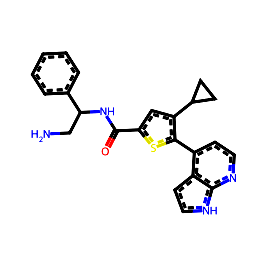 NCC(NC(=O)c1cc(C2CC2)c(-c2ccnc3[nH]ccc23)s1)c1ccccc1